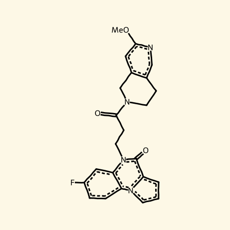 COc1cc2c(cn1)CCN(C(=O)CCn1c(=O)c3cccn3c3ccc(F)cc31)C2